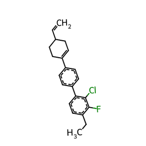 C=CC1CC=C(c2ccc(-c3ccc(CC)c(F)c3Cl)cc2)CC1